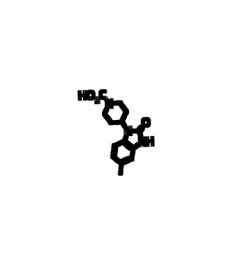 Cc1ccc2c(c1)[nH]c(=O)n2C1CCN(C(=O)O)CC1